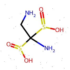 NCC(N)(S(=O)O)S(=O)O